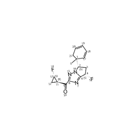 CC1([C@@H]2C[C@H](F)c3nc(C(=O)[C@H]4C[C@@H]4F)nn32)C=CC=CC1